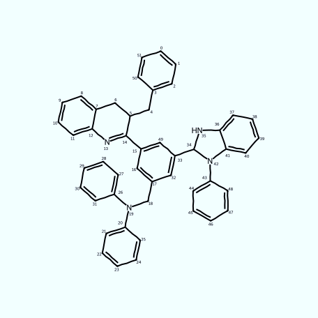 c1ccc(CC2Cc3ccccc3N=C2c2cc(CN(c3ccccc3)c3ccccc3)cc(C3Nc4ccccc4N3c3ccccc3)c2)cc1